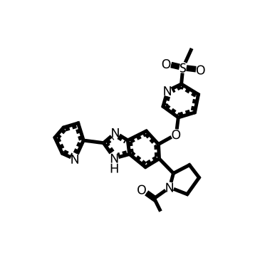 CC(=O)N1CCCC1c1cc2[nH]c(-c3ccccn3)nc2cc1Oc1ccc(S(C)(=O)=O)nc1